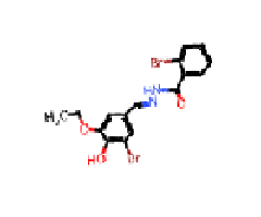 CCOc1cc(C=NNC(=O)c2ccccc2Br)cc(Br)c1O